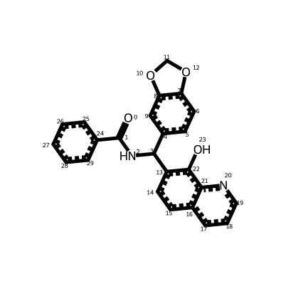 O=C(NC(c1ccc2c(c1)OCO2)c1ccc2cccnc2c1O)c1ccccc1